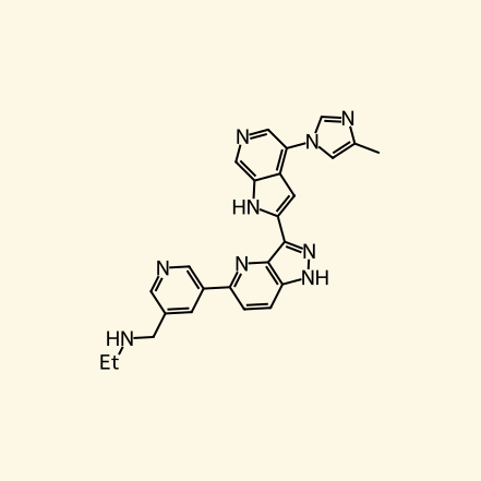 CCNCc1cncc(-c2ccc3[nH]nc(-c4cc5c(-n6cnc(C)c6)cncc5[nH]4)c3n2)c1